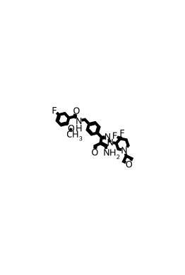 COC1=CC=C(F)CC1C(=O)NCc1ccc(-c2nn(C3CN(C4COC4)CCC3(F)F)c(N)c2C=O)cc1